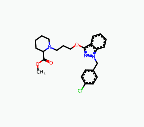 COC(=O)C1CCCCN1CCCOc1nn(Cc2ccc(Cl)cc2)c2ccccc12